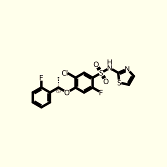 C[C@H](Oc1cc(F)c(S(=O)(=O)Nc2nccs2)cc1Cl)c1ccccc1F